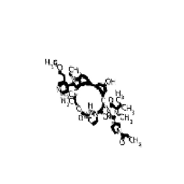 C=CC(=O)N1CC[C@H](C(=O)N(C)C(C(=O)N[C@H]2Cc3cc(O)cc(c3)-c3ccc4c(c3)c(c(-c3ccncc3CCOC)n4CC)CC(C)(C)COC(=O)[C@@H]3CCCN(N3)C2=O)C(C)C)C1